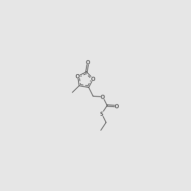 CCSC(=O)OCc1oc(=O)oc1C